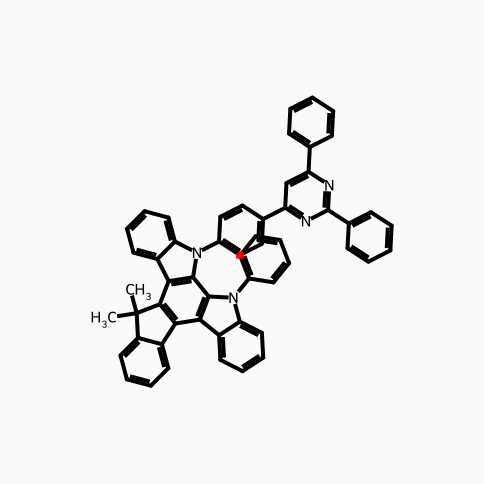 CC1(C)c2ccccc2-c2c1c1c3ccccc3n(-c3ccc(-c4cc(-c5ccccc5)nc(-c5ccccc5)n4)cc3)c1c1c2c2ccccc2n1-c1ccccc1